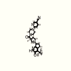 C[C@]1(C(=O)N2CCN(c3ccc(C#N)cn3)CC2)CCN([C@@H]2CCc3c2n[nH]c(=O)c3C(F)(F)F)C1